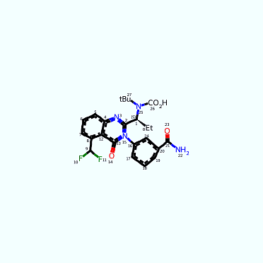 CC[C@@H](c1nc2cccc(C(F)F)c2c(=O)n1-c1cccc(C(N)=O)c1)N(C(=O)O)C(C)(C)C